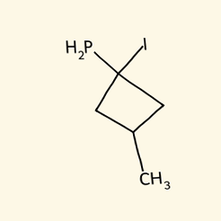 CC1CC(P)(I)C1